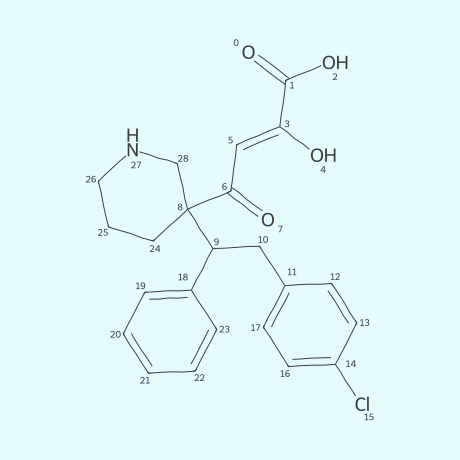 O=C(O)C(O)=CC(=O)C1(C(Cc2ccc(Cl)cc2)c2ccccc2)CCCNC1